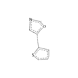 [c]1ncc(-c2cccs2)o1